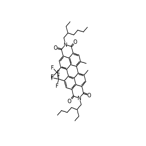 CCCCC(CC)CN1C(=O)c2cc(C)c3c4c(C)cc5c6c(cc(C(F)(F)F)c(c7c(C(F)(F)F)cc(c2c37)C1=O)c64)C(=O)N(CC(CC)CCCC)C5=O